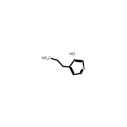 Cl.O=C(O)CCc1ccncc1